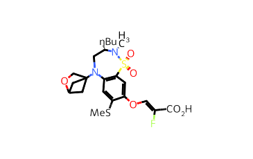 CCCC[C@H]1CN(C23COC(C2)C3)c2cc(SC)c(O/C=C(\F)C(=O)O)cc2S(=O)(=O)N1C